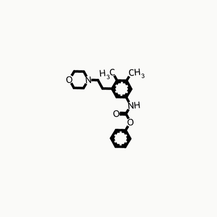 Cc1cc(NC(=O)Oc2ccccc2)cc(CCN2CCOCC2)c1C